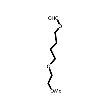 COCCOCCCCO[C]=O